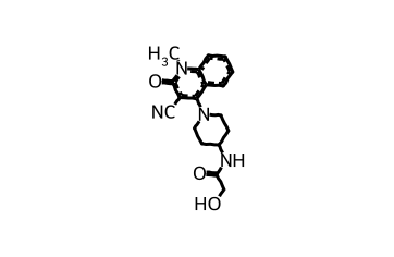 Cn1c(=O)c(C#N)c(N2CCC(NC(=O)CO)CC2)c2ccccc21